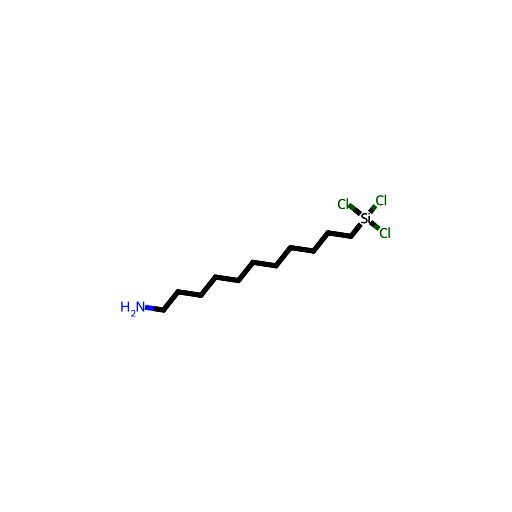 NCCCCCCCCCCC[Si](Cl)(Cl)Cl